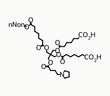 CCCCCCCCCOC(=O)CCCCCC(=O)OCC(COC(=O)CCCCCC(=O)O)(COC(=O)CCCCCC(=O)O)COC(=O)CCCN1CCCC1